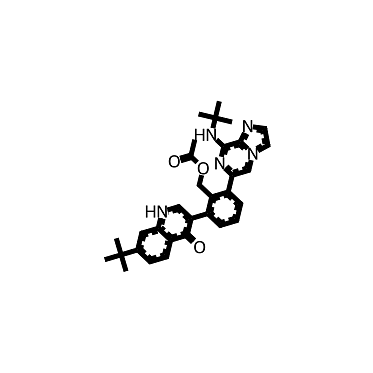 CC(=O)OCc1c(-c2cn3ccnc3c(NC(C)(C)C)n2)cccc1-c1c[nH]c2cc(C(C)(C)C)ccc2c1=O